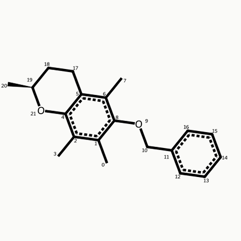 Cc1c(C)c2c(c(C)c1OCc1ccccc1)CC[C@H](C)O2